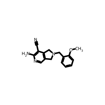 COc1ccccc1CN1Cc2cnc(N)c(C#N)c2C1